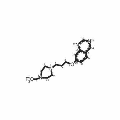 FC(F)(F)CN1CCN(CCCOc2ccc3cncnc3c2)CC1